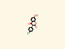 O=C1Oc2cc(O)ccc2C(=O)[C@@H]1c1ccc(Cl)cc1